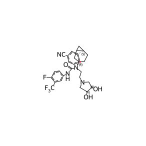 N#Cc1cccc([C@]23CC[C@@H](N(CCN4C[C@@H](O)[C@H](O)C4)C(=O)Nc4ccc(F)c(C(F)(F)F)c4)CC2C3)c1